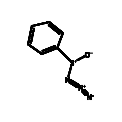 [N-]=[N+]=N[S+]([O-])c1ccccc1